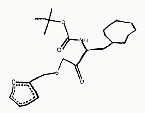 CC(C)(C)OC(=O)N[C@@H](CC1CCCCC1)C(=O)CSCc1ccco1